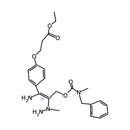 CCOC(=O)CCOc1ccc(/C(N)=C(\COC(=O)N(C)Cc2ccccc2)N(C)N)cc1